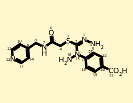 N/N=C(/SCC(=O)NCc1ccncc1)N(N)c1ccc(C(=O)O)cc1